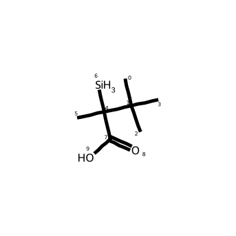 CC(C)(C)C(C)([SiH3])C(=O)O